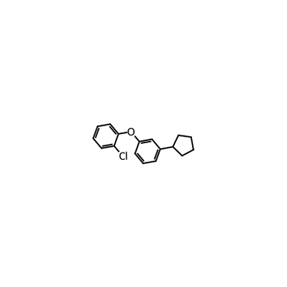 Clc1ccccc1Oc1cccc(C2CCCC2)c1